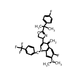 C=C1C(C2COC(C(C)(C)c3ccc(F)cc3)=N2)=CN(Cc2ccc(C(F)(F)F)cc2)c2cc(N(C)C)c(F)cc21